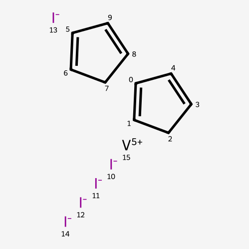 C1=CCC=C1.C1=CCC=C1.[I-].[I-].[I-].[I-].[I-].[V+5]